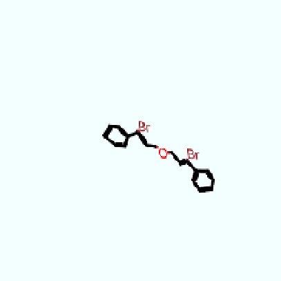 BrC(=CCOCC=C(Br)c1ccccc1)c1ccccc1